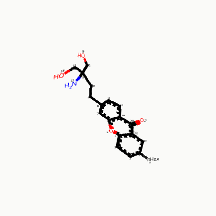 CCCCCCc1ccc2oc3cc(CCC(N)(CO)CO)ccc3c(=O)c2c1